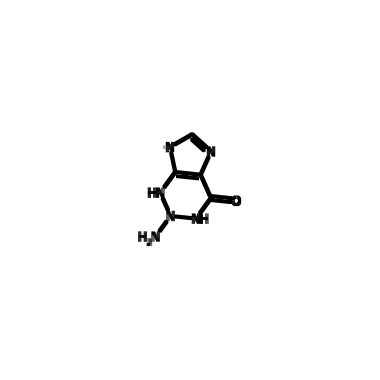 NN1NC(=O)C2=C([N]C=N2)N1